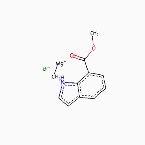 COC(=O)c1cccc2cc[nH]c12.[Br-].[CH3][Mg+]